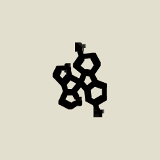 Brc1ccc2c(c1)C1(c3cc(Br)ccc3-2)c2sccc2-c2ccsc21